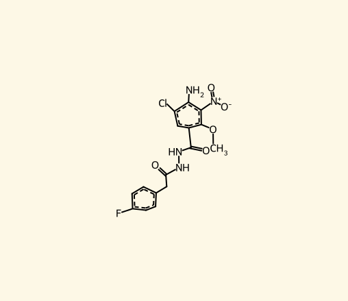 COc1c(C(=O)NNC(=O)Cc2ccc(F)cc2)cc(Cl)c(N)c1[N+](=O)[O-]